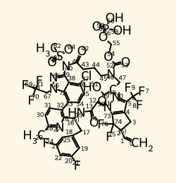 C=C[C@@H]1Cc2c(C(F)(F)F)nn(CC(=O)N[C@@H](Cc3cc(F)cc(F)c3)c3nc(C)ccc3-c3ccc(Cl)c4c(N(C(=O)CCCN(CCC(=O)O)C(=O)OCOP(=O)(O)O)S(C)(=O)=O)nn(CC(F)(F)F)c34)c2C1(F)F